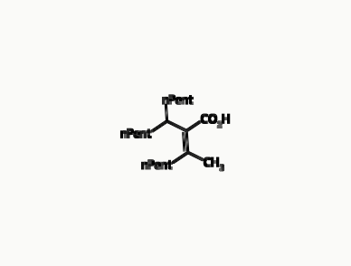 CCCCCC(C)=C(C(=O)O)C(CCCCC)CCCCC